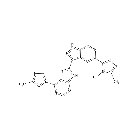 Cc1cn(-c2nccc3[nH]c(-c4n[nH]c5cnc(-c6cnc(C)n6C)cc45)cc23)cn1